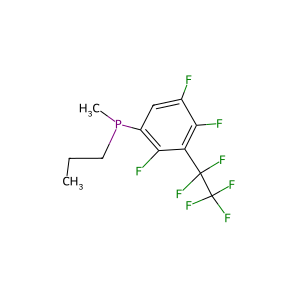 CCCP(C)c1cc(F)c(F)c(C(F)(F)C(F)(F)F)c1F